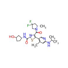 Cc1cc(N[C@@H](C)C(F)(F)F)ncc1-c1sc(C(=O)N[C@@H]2CC[C@@H](O)C2)nc1C(=O)N1CC(F)(F)C[C@@H]1C